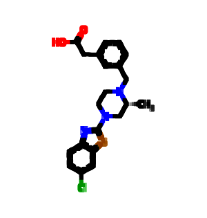 C[C@@H]1CN(c2nc3ccc(Cl)cc3s2)CCN1Cc1cccc(CC(=O)O)c1